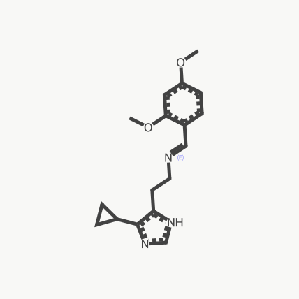 COc1ccc(/C=N/CCc2[nH]cnc2C2CC2)c(OC)c1